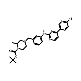 CC1CN(Cc2cccc(Nc3nccc(-c4ccc(Cl)nc4)n3)c2)CCN1C(=O)OC(C)(C)C